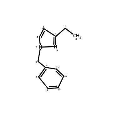 CCc1[c]cn(Cc2ccccc2)n1